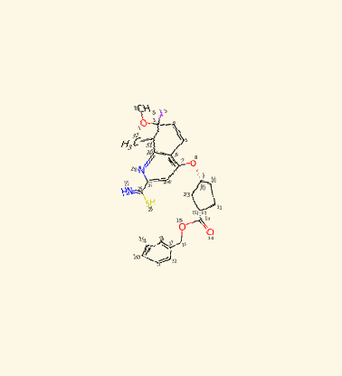 COC1(I)C=Cc2c(O[C@@H]3CC[C@H](C(=O)OCc4ccccc4)C3)cc(C(=N)S)nc2C1C